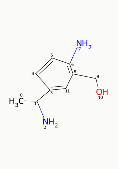 CC(N)c1ccc(N)c(CO)c1